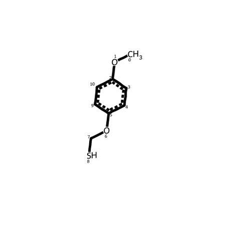 COc1ccc(OCS)cc1